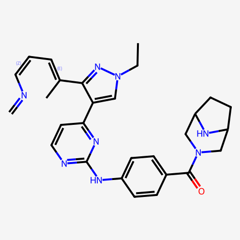 C=N/C=C\C=C(/C)c1nn(CC)cc1-c1ccnc(Nc2ccc(C(=O)N3CC4CCC(C3)N4)cc2)n1